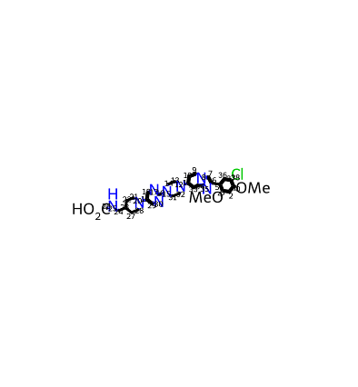 COc1cc(OC)c(-c2cn3ccc(N4CCN(c5ncc(N6CCC(CNC(=O)O)CC6)cn5)CC4)cc3n2)cc1Cl